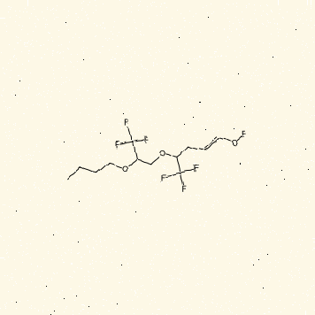 CCCCOC(COC(CC=COF)C(F)(F)F)C(F)(F)F